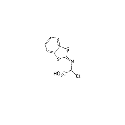 CCC(N=c1sc2ccccc2s1)C(=O)O